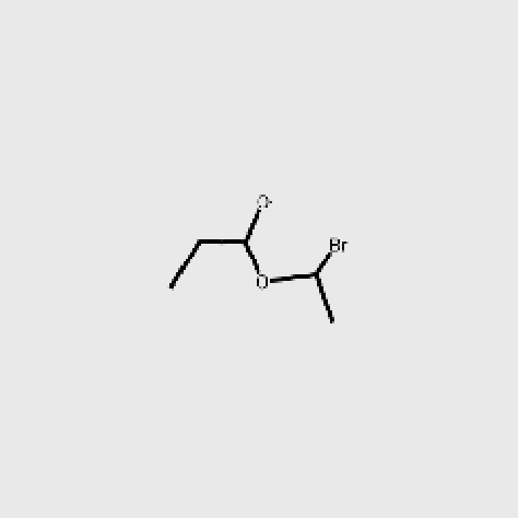 CCC([O])OC(C)Br